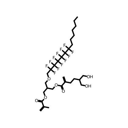 C=C(C)C(=O)OCC(COCC(F)(F)C(F)(F)C(F)(F)C(F)(F)C(F)(F)C(F)(F)CCCCCCC)COC(=O)C(=C)CCC(CO)CO